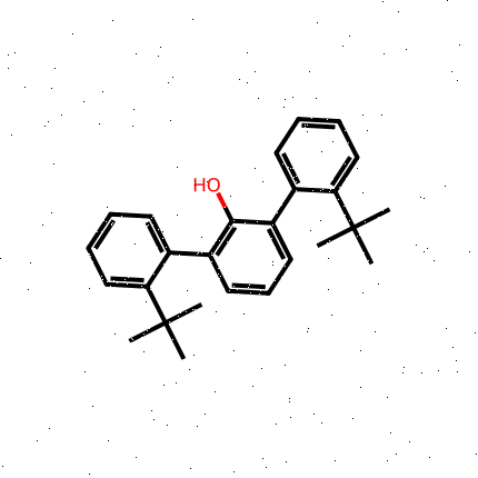 CC(C)(C)c1ccccc1-c1cccc(-c2ccccc2C(C)(C)C)c1O